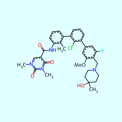 COc1cc(-c2cccc(-c3cccc(NC(=O)c4cn(C)c(=O)n(C)c4=O)c3C)c2Cl)cc(F)c1CN1CCC(C)(O)CC1